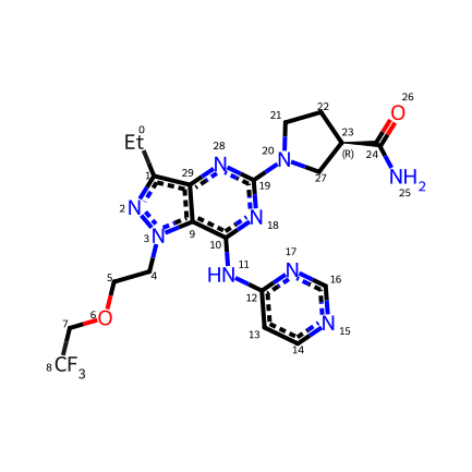 CCc1nn(CCOCC(F)(F)F)c2c(Nc3ccncn3)nc(N3CC[C@@H](C(N)=O)C3)nc12